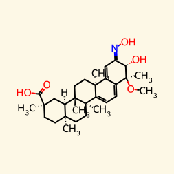 CO[C@@]1(C)C2=CC=C3[C@@](C)(CC[C@@]4(C)[C@@H]5C[C@](C)(C(=O)O)CC[C@]5(C)CC[C@]34C)C2=CC(=NO)[C@@H]1O